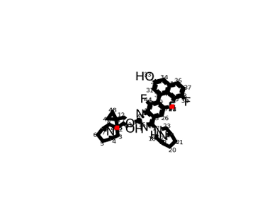 OCC1CC2CCC(C1)N2CC1(COc2nc(N3CC4CCC(C3)N4)c3cc(F)c(-c4cc(O)cc5ccc(F)c(F)c45)c(F)c3n2)CC1